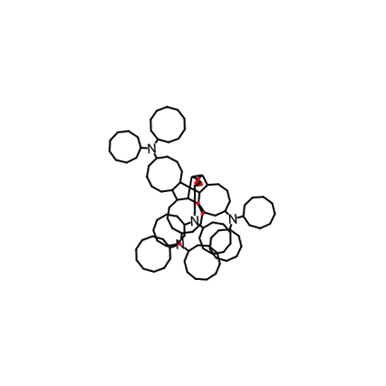 C1CCCCC(N(C2CCCCCCCCC2)C2CCCCC3C(CCC2)C2CCCCC(N(C4CCCCCCCCC4)C4CCCCCCCC4)CCCC2C32C3CCCC(N(C4CCCCCCCC4)C4CCCCCCCC4)CCCCC3C3CCCC(N(C4CCCCCCCC4)C4CCCCCCCC4)CCCC32)CCCC1